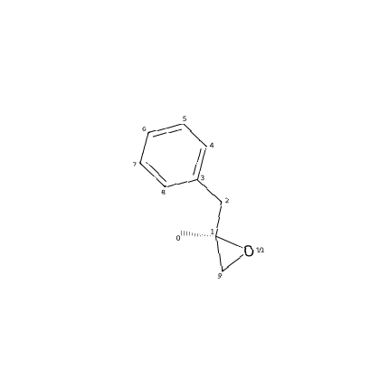 C[C@@]1(Cc2ccccc2)CO1